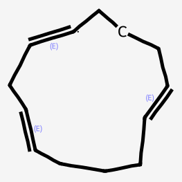 [C]1=C/C/C=C/CCC/C=C/CCC/1